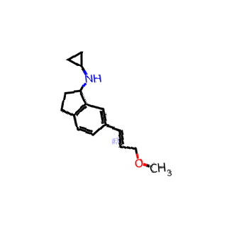 COC/C=C/c1ccc2c(c1)C(NC1CC1)CC2